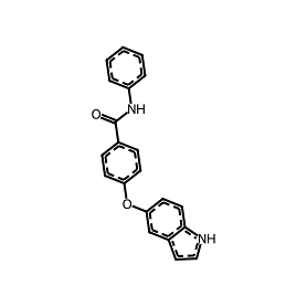 O=C(Nc1ccccc1)c1ccc(Oc2ccc3[nH]ccc3c2)cc1